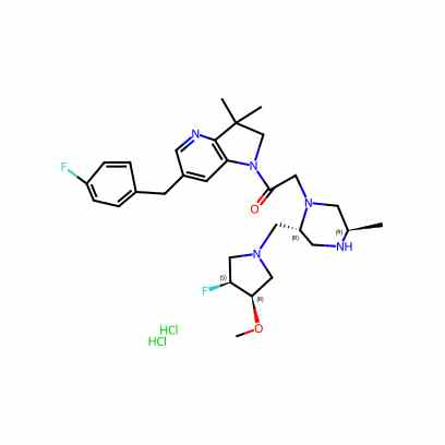 CO[C@@H]1CN(C[C@H]2CN[C@H](C)CN2CC(=O)N2CC(C)(C)c3ncc(Cc4ccc(F)cc4)cc32)C[C@@H]1F.Cl.Cl